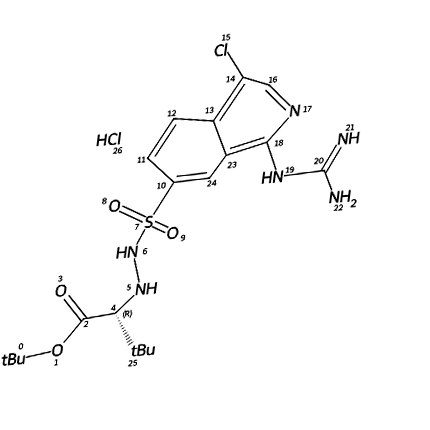 CC(C)(C)OC(=O)[C@H](NNS(=O)(=O)c1ccc2c(Cl)cnc(NC(=N)N)c2c1)C(C)(C)C.Cl